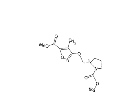 COC(=O)c1onc(OC[C@@H]2CCCN2C(=O)OC(C)(C)C)c1C